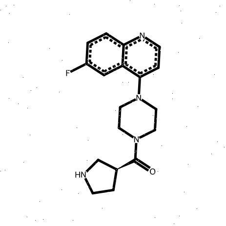 O=C([C@H]1CCNC1)N1CCN(c2ccnc3ccc(F)cc23)CC1